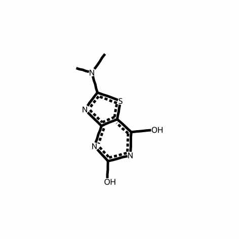 CN(C)c1nc2nc(O)nc(O)c2s1